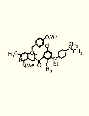 CCN(c1cc(Cl)cc(C(=O)NCc2c(OCc3ccc(OC)cc3)cc(C)nc2NC)c1C)C1CCC(N(C)C)CC1